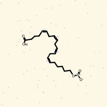 O=C(O)CCC/C=C\C/C=C\C/C=C\C/C=C\CCCCCO[N+](=O)[O-]